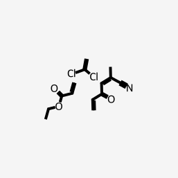 C=C(Cl)Cl.C=CC(=O)C=C(C)C#N.C=CC(=O)OCC